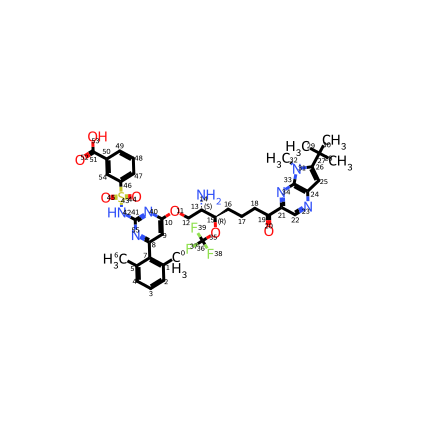 Cc1cccc(C)c1-c1cc(OC[C@H](N)[C@@H](CCCC(=O)c2cnc3cc(C(C)(C)C)n(C)c3n2)OC(F)(F)F)nc(NS(=O)(=O)c2cccc(C(=O)O)c2)n1